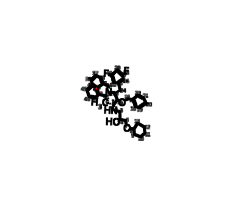 C[C@@H](NC[C@@H](O)COC1CCCCC1)[C@@H](OCc1ccccc1)[C@H](Cc1cc(F)cc(F)c1)N(Cc1ccccc1)Cc1ccccc1